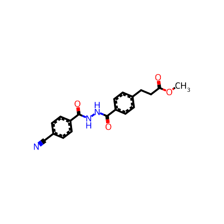 COC(=O)CCc1ccc(C(=O)NNC(=O)c2ccc(C#N)cc2)cc1